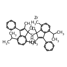 CC1=C(c2ccccc2)c2c(C(C)C)ccc(C)c2C1(Cl)[SiH2]C1(Cl)C(C)=C(c2ccccc2)c2c(C(C)C)ccc(C)c21.[Zr]